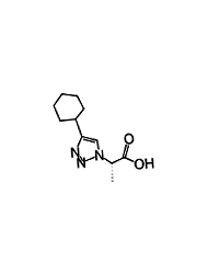 C[C@@H](C(=O)O)n1cc(C2CCCCC2)nn1